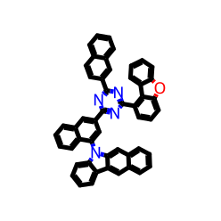 c1ccc2cc(-c3nc(-c4cc(-n5c6ccccc6c6cc7ccccc7cc65)c5ccccc5c4)nc(-c4cccc5oc6ccccc6c45)n3)ccc2c1